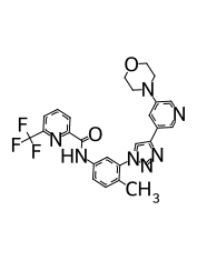 Cc1ccc(NC(=O)c2cccc(C(F)(F)F)n2)cc1-n1cc(-c2cncc(N3CCOCC3)c2)nn1